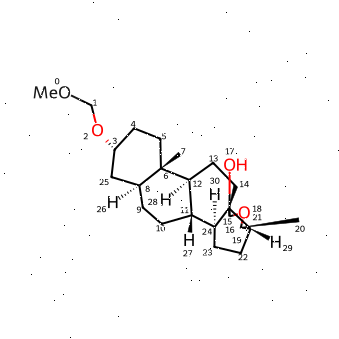 COCO[C@@H]1CC[C@@]2(C)[C@@H](CC[C@@H]3[C@@H]2CC[C@]24C(O)O[C@H](C)[C@H]2CC[C@@H]34)C1